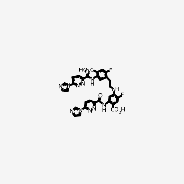 O=C(Nc1cc(CCNc2cc(NC(=O)c3ccc(-n4ccnc4)nn3)c(C(=O)O)cc2F)c(F)cc1C(=O)O)c1ccc(-n2ccnc2)nn1